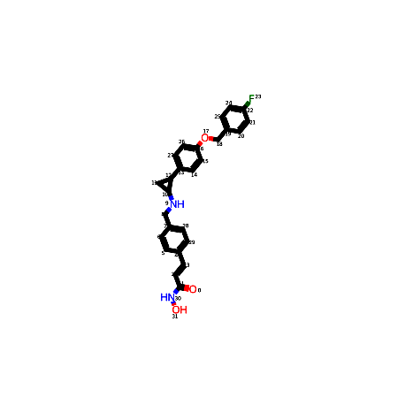 O=C(/C=C/c1ccc(CNC2CC2c2ccc(OCc3ccc(F)cc3)cc2)cc1)NO